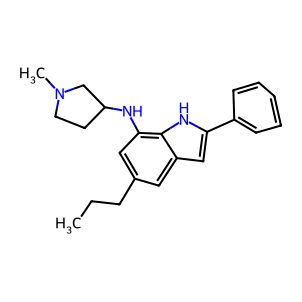 CCCc1cc(NC2CCN(C)C2)c2[nH]c(-c3ccccc3)cc2c1